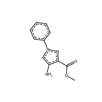 COC(=O)c1nn(-c2ccccc2)cc1N